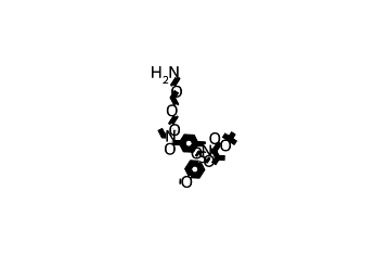 CCN(OCCOCCOCCN)C(=O)c1ccc(CN(C(C(=O)OC(C)(C)C)C(C)C)S(=O)(=O)c2ccc(OC)cc2)cc1